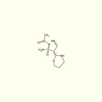 CC(=O)N=S(N)(=O)/C(C=N)=C1/NCCCO1